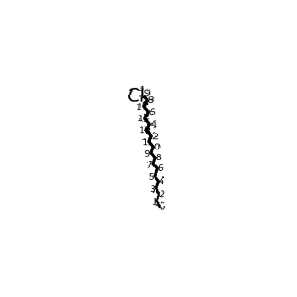 CCCCCCCCCCCCCCCCCC[CH]Cl